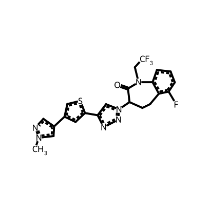 Cn1cc(-c2csc(-c3cn(C4CCc5c(F)cccc5N(CC(F)(F)F)C4=O)nn3)c2)cn1